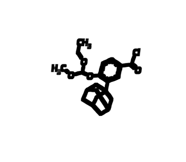 CCOC(OC)Oc1ccc(C(=O)Cl)cc1C12CC3CC(CC(C3)C1)C2